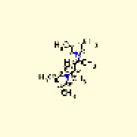 CCCN(CCC)/C(C)=C/CC(C)(C)N(CCC)CCC